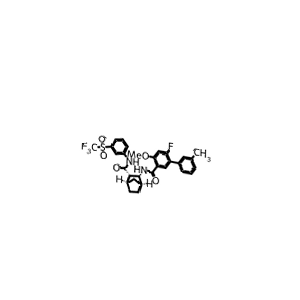 COc1cc(F)c(-c2cccc(C)c2)cc1C(=O)N[C@@H]1[C@H]2CC[C@H](C2)[C@@H]1C(=O)Nc1cccc(S(=O)(=O)C(F)(F)F)c1